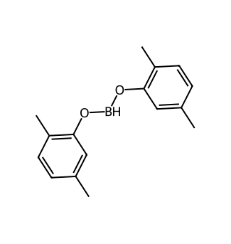 Cc1ccc(C)c(OBOc2cc(C)ccc2C)c1